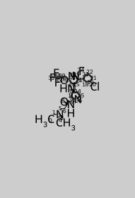 CCN(CC)CCC(=O)Nc1cc(Nc2cc(-c3cc(Cl)ccc3F)nnc2OCC(F)(F)F)ccn1